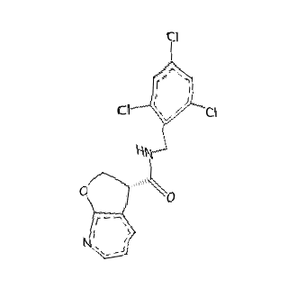 O=C(NCc1c(Cl)cc(Cl)cc1Cl)[C@H]1COc2ncccc21